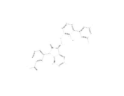 Cc1cc(C)cc(-c2cccc(N/N=C3\C(=O)N(c4cccc(C(=O)O)c4)c4ccccc43)c2O)c1